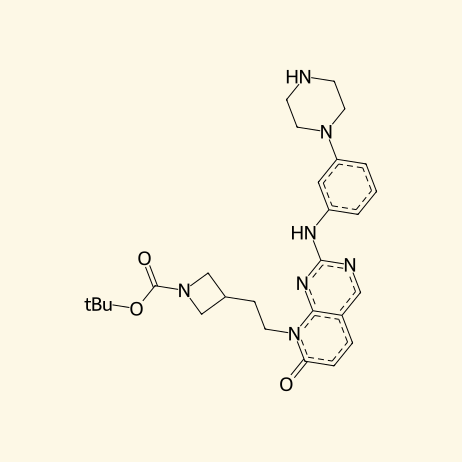 CC(C)(C)OC(=O)N1CC(CCn2c(=O)ccc3cnc(Nc4cccc(N5CCNCC5)c4)nc32)C1